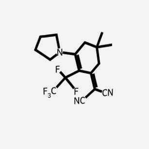 CC1(C)CC(=C(C#N)C#N)C(C(F)(F)C(F)(F)F)=C(N2CCCC2)C1